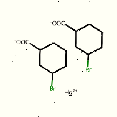 O=C([O-])C1CCCC(Br)C1.O=C([O-])C1CCCC(Br)C1.[Hg+2]